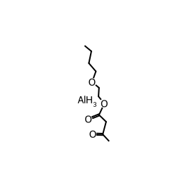 CCCCOCCOC(=O)CC(C)=O.[AlH3]